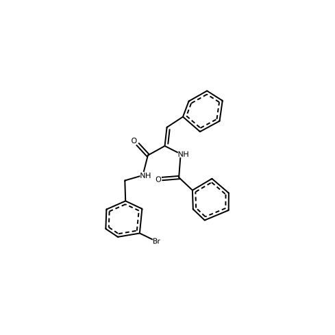 O=C(NCc1cccc(Br)c1)/C(=C/c1ccccc1)NC(=O)c1ccccc1